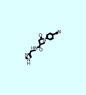 N#Cc1ccc(N2CC(C(=O)NCCc3c[nH]cn3)CC2=O)cc1